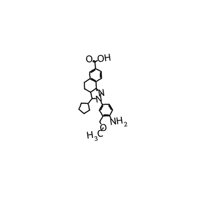 COCc1cc(N2N=C3c4ccc(C(=O)O)cc4CCC3C2C2CCCC2)ccc1N